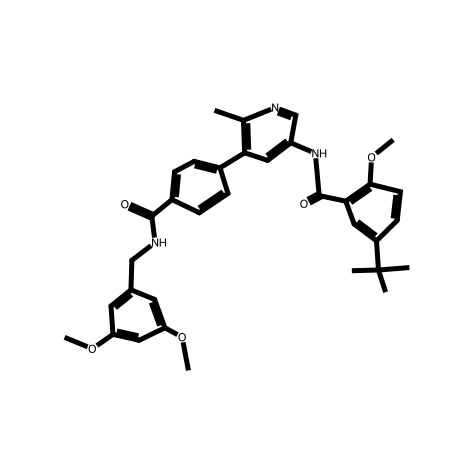 COc1cc(CNC(=O)c2ccc(-c3cc(NC(=O)c4cc(C(C)(C)C)ccc4OC)cnc3C)cc2)cc(OC)c1